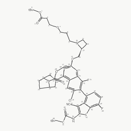 CC(C)(C)OC(=O)CCOCCCN1CC[C@H]1COc1nc(N2CC3CCC(C2)N3C(=O)OC(C)(C)C)c2cc(Cl)c(-c3ccc(F)c4sc(NC(=O)OC(C)(C)C)c(C#N)c34)c(F)c2n1